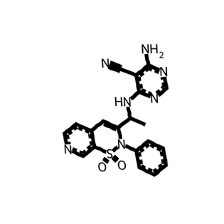 CC(Nc1ncnc(N)c1C#N)C1=Cc2ccncc2S(=O)(=O)N1c1ccccc1